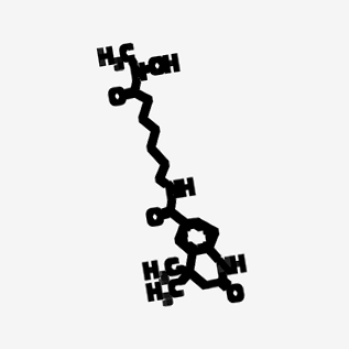 CN(O)C(=O)CCCCCCNC(=O)c1ccc2c(c1)C(C)(C)CC(=O)N2